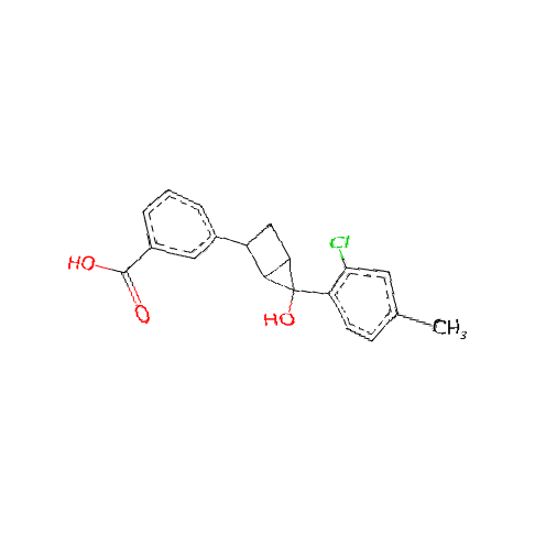 Cc1ccc(C2(O)C3CC(c4cccc(C(=O)O)c4)C32)c(Cl)c1